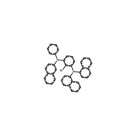 Brc1c(N(c2ccccc2)c2ccc3ccccc3c2)cccc1N(c1cccc2ccccc12)c1cccc2ccccc12